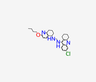 CCCCOc1ccc2c(n1)CCC[C@H]2NCNc1c2c(nc3cc(Cl)ccc13)CCCC2